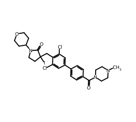 CN1CCN(C(=O)c2ccc(-c3cc(Cl)c(CC4(I)CCN(C5CCOCC5)C4=O)c(Cl)c3)cc2)CC1